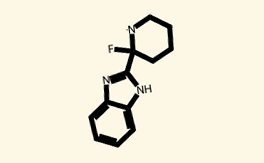 FC1(c2nc3ccccc3[nH]2)CCCC[N]1